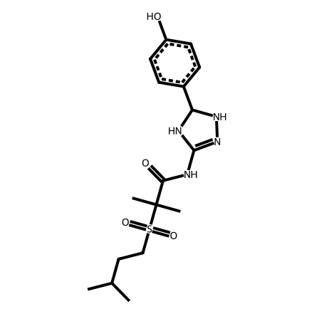 CC(C)CCS(=O)(=O)C(C)(C)C(=O)NC1=NNC(c2ccc(O)cc2)N1